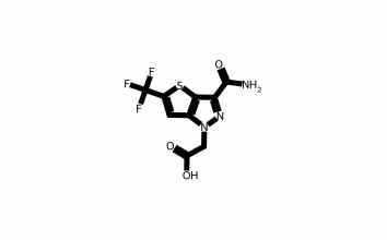 NC(=O)c1nn(CC(=O)O)c2cc(C(F)(F)F)sc12